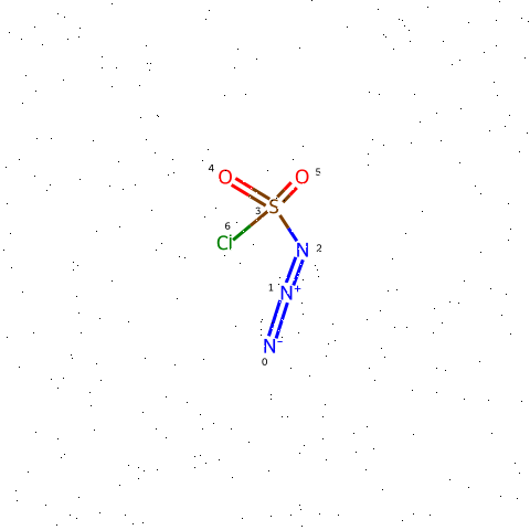 [N-]=[N+]=NS(=O)(=O)Cl